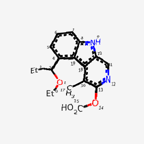 CCOC(CC)c1cccc2[nH]c3cnc(OC(=O)O)c(C)c3c12